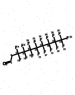 O=CCC(F)(F)C(F)(F)C(F)(F)C(F)(F)C(F)(F)C(F)(F)C(F)(F)C(F)(F)F